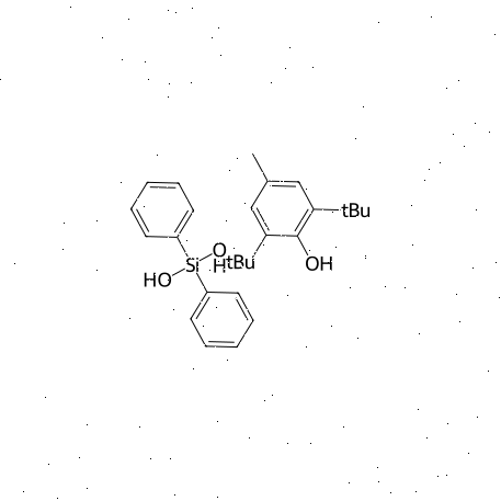 Cc1cc(C(C)(C)C)c(O)c(C(C)(C)C)c1.O[Si](O)(c1ccccc1)c1ccccc1